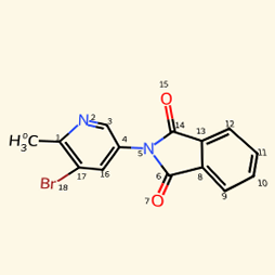 Cc1ncc(N2C(=O)c3ccccc3C2=O)cc1Br